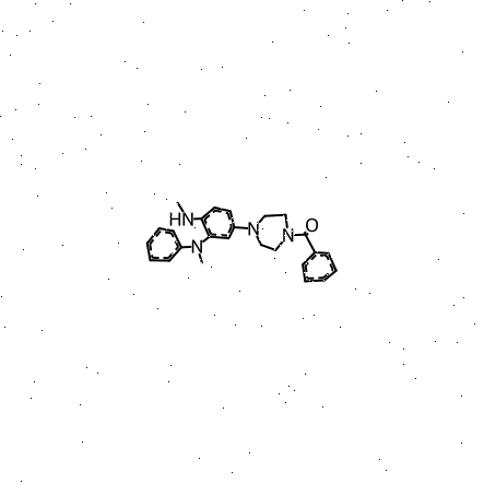 CNc1ccc(N2CCN(C(=O)c3ccccc3)CC2)cc1N(C)c1ccccc1